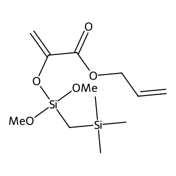 C=CCOC(=O)C(=C)O[Si](C[Si](C)(C)C)(OC)OC